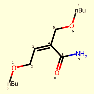 CCCCOCC=C(COCCCC)C(N)=O